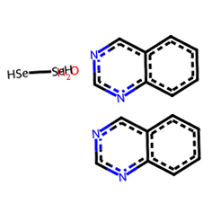 O.[SeH][SeH].c1ccc2ncncc2c1.c1ccc2ncncc2c1